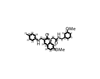 COc1cccc(CNC(=O)Cn2c(=O)c(CNc3ccc(C)cc3)cc3ccc(OC)cc32)c1